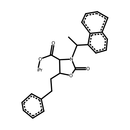 CC(C)OC(=O)C1C(CCc2ccccc2)OC(=O)N1C(C)c1cccc2ccccc12